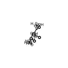 COC(=O)c1c(O)cccc1OCCCCNC(=O)[C@H](Cc1ccc(C2CC(=O)NS2(O)O)c(-c2ccccc2)c1)NC(=O)OCc1ccccc1